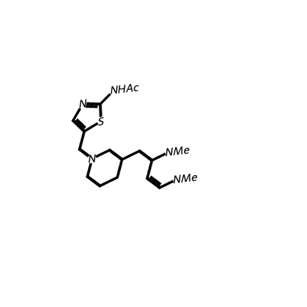 CN/C=C\C(CC1CCCN(Cc2cnc(NC(C)=O)s2)C1)NC